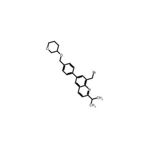 CC(C)c1ccc2cc(-c3ccc(COC4CCCOC4)cc3)cc(CBr)c2n1